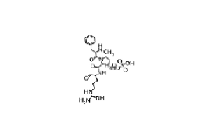 CN[C@H](Cc1ccccc1)C(=O)N1CCC[C@H]1C(=O)N[C@H](C=O)CCCNC(=N)N.O.O=S(=O)(O)O